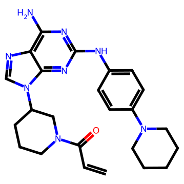 C=CC(=O)N1CCCC(n2cnc3c(N)nc(Nc4ccc(N5CCCCC5)cc4)nc32)C1